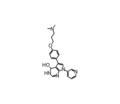 CN(C)CCCOc1ccc(-c2cn(-c3cccnc3)c3c2C(O)NC=N3)cc1